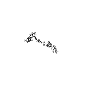 CC1(C)OCc2cc([C@@H]3CN(CCCCCCOCCC#Cc4cccc5ccc(S(N)(=O)=O)cc45)C(=O)O3)ccc2O1